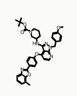 COc1ccc(Cn2nc(NC3CCCN(C(=O)OC(C)(C)C)C3)c3c(Oc4ccc(-c5nc6cccc(C)c6o5)cc4)ccnc32)cc1